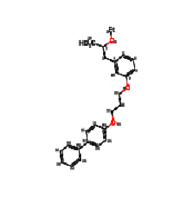 CCOC(Cc1cccc(OCCCOc2ccc(-c3ccccc3)cc2)c1)C(=O)O